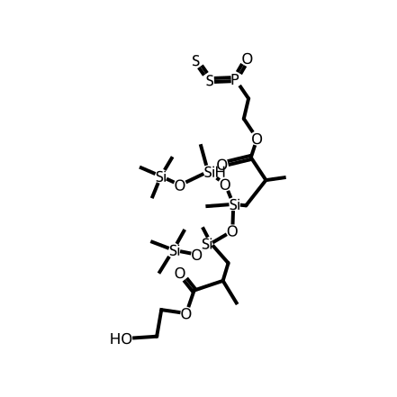 CC(C[Si](C)(O[SiH](C)O[Si](C)(C)C)O[Si](C)(CC(C)C(=O)OCCO)O[Si](C)(C)C)C(=O)OCCP(=O)=S=S